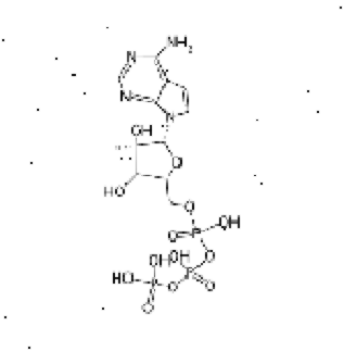 C[C@@]1(O)C(O)C(COP(=O)(O)OP(=O)(O)OP(=O)(O)O)O[C@H]1n1ccc2c(N)ncnc21